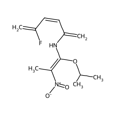 C=C(F)/C=C\C(=C)N/C(OC(C)C)=C(\C)[N+](=O)[O-]